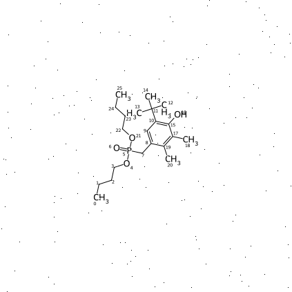 CCCCOP(=O)(Cc1cc(C(C)(C)C)c(O)c(C)c1C)OCCCC